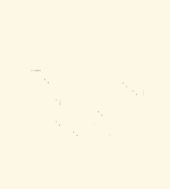 C=CC(=O)N1CCN(c2ncnc3c2CCN(c2c(C)ccc4[nH]ncc24)C3=O)CC1